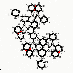 c1ccc(-c2cc3c4c(c2)N(c2ccccc2)B2c5c(cc6c(c5-4)B(N(c4ccccc4)c4ccccc4-6)N3c3ccccc3)-c3cc4c(cc3N2c2ccccc2)N(c2ccccc2)B2c3c-4cc4c5c3-c3c(cc(-c6ccccc6)cc3N2c2ccccc2)N(c2ccccc2)B5N(c2ccccc2)c2ccccc2-4)cc1